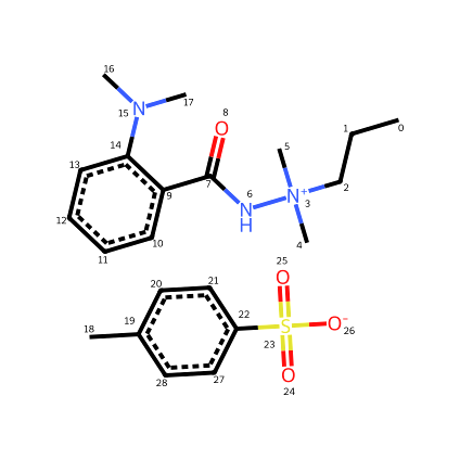 CCC[N+](C)(C)NC(=O)c1ccccc1N(C)C.Cc1ccc(S(=O)(=O)[O-])cc1